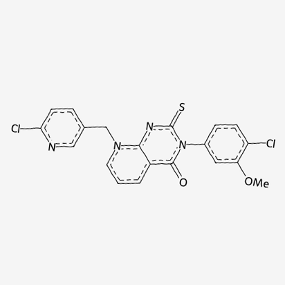 COc1cc(-n2c(=S)nc3n(Cc4ccc(Cl)nc4)cccc-3c2=O)ccc1Cl